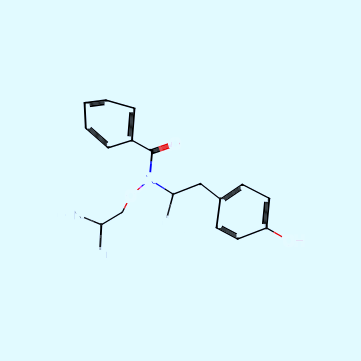 CCC(CON(C(=O)c1ccccc1)C(Cc1ccc(O)cc1)C(=O)O)[N+](=O)[O-]